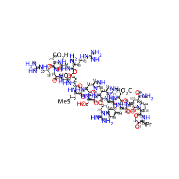 CSCC[C@H](NC(=O)[C@H](CC(=O)O)NC(=O)CNC(=O)[C@H](CCCNC(=N)N)NC(=O)[C@H](CC(=O)O)NC(=O)CNC(=O)[C@@H](N)CCCNC(=N)N)C(=O)N[C@@H](Cc1c[nH]cn1)C(=O)N[C@@H](CO)C(=O)N[C@@H](Cc1c[nH]cn1)C(=O)N[C@@H](CCCNC(=N)N)C(=O)N[C@@H](CC(=O)O)C(=O)N[C@@H](Cc1ccccc1)C(=O)N[C@@H](CCC(N)=O)C(=O)N1CCC[C@H]1C(=O)N[C@H](C(=O)I)C(C)C